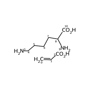 C=CC(=O)O.NCCCCC(N)C(=O)O